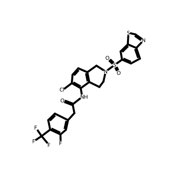 O=C(Cc1ccc(C(F)(F)F)c(F)c1)Nc1c(Cl)ccc2c1CCN(S(=O)(=O)c1ccc3ncsc3c1)C2